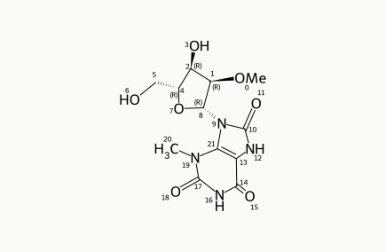 CO[C@@H]1[C@H](O)[C@@H](CO)O[C@H]1n1c(=O)[nH]c2c(=O)[nH]c(=O)n(C)c21